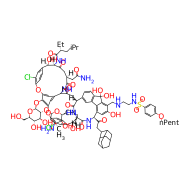 CCCCCOc1ccc(S(=O)(=O)NCCNCc2c(O)cc3c4c2C(O)(O)c2ccc(cc2-4)[C@H]2CC(=O)[C@@H]4NC(=O)[C@H](CC(N)=O)CC(=O)[C@H](NC(=O)[C@H](CC)CC(C)C)[C@H](O)c5ccc(c(Cl)c5)Oc5cc4cc(c5O[C@@H]4O[C@H](CO)[C@@H](O)[C@H](O)[C@H]4O[C@H]4C[C@](C)(N)[C@H](O)[C@H](C)O4)Oc4ccc(cc4Cl)[C@@H](O)[C@H](NC2=O)C(=O)N[C@@H]3C(=O)CC2C3CC4CC(C3)CC2C4)cc1